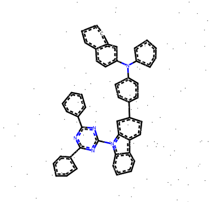 c1ccc(-c2nc(-c3ccccc3)nc(-n3c4ccccc4c4ccc(-c5ccc(N(c6ccccc6)c6ccc7ccccc7c6)cc5)cc43)n2)cc1